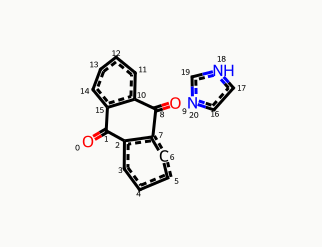 O=C1c2ccccc2C(=O)c2ccccc21.c1c[nH]cn1